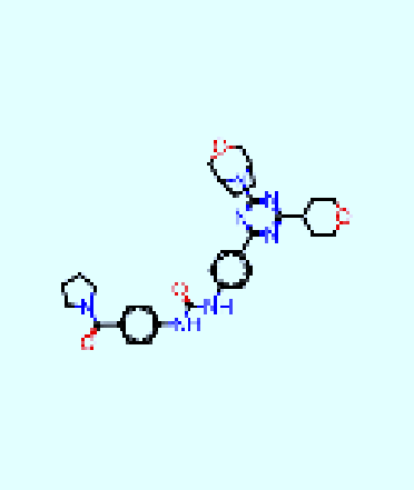 O=C(Nc1ccc(C(=O)N2CCCC2)cc1)Nc1ccc(-c2nc(C3CCOCC3)nc(N3C4CCC3COC4)n2)cc1